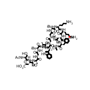 CC[C@H](C)[C@H](NC(=O)CNC(=O)[C@H](CO)NC(=O)[C@H](CCC(=O)O)NC(=O)[C@H](CO)NC(C)=O)C(=O)N[C@@H](C)C(=O)N[C@@H](Cc1c[nH]c2ccccc12)C(=O)NCC(=O)NCC(=O)N[C@H](C(=O)N[C@@H](CCCCN)C(=O)N[C@@H](CCCCN)C(=O)N[C@@H](CC(N)=O)C(=O)N[C@@H](Cc1ccc(O)cc1)C(=O)N[C@@H](C)C(=O)O)[C@@H](C)CC